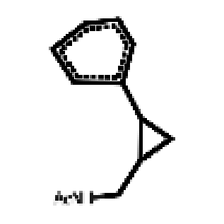 CC(=O)NCC1CC1c1ccccc1